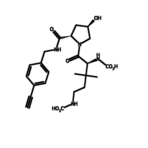 C#Cc1ccc(CNC(=O)[C@@H]2C[C@@H](O)CN2C(=O)[C@@H](NC(=O)O)C(C)(C)CCNC(=O)O)cc1